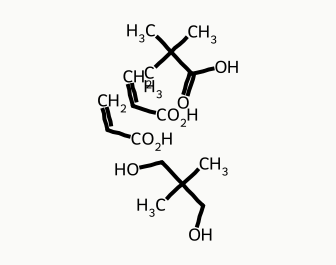 C=CC(=O)O.C=CC(=O)O.CC(C)(C)C(=O)O.CC(C)(CO)CO